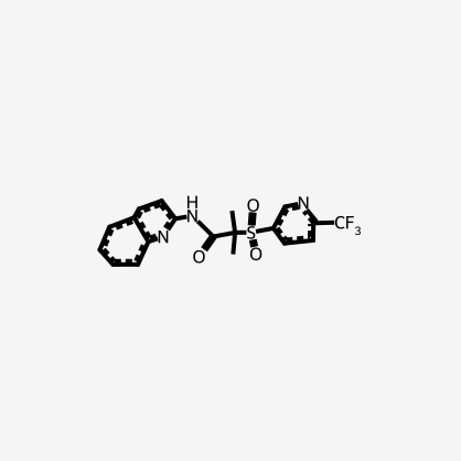 CC(C)(C(=O)Nc1ccc2ccccc2n1)S(=O)(=O)c1ccc(C(F)(F)F)nc1